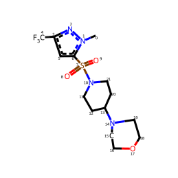 Cn1nc(C(F)(F)F)cc1S(=O)(=O)N1CCC(N2CCOCC2)CC1